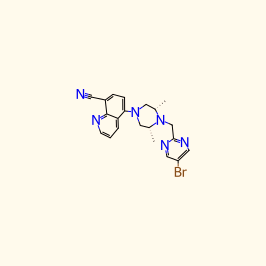 C[C@@H]1CN(c2ccc(C#N)c3ncccc23)C[C@H](C)N1Cc1ncc(Br)cn1